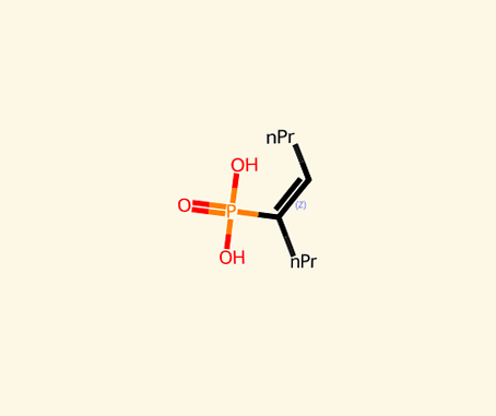 CCC/C=C(/CCC)P(=O)(O)O